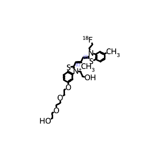 CC(/C=C1\Sc2ccc(C)cc2N1CC[18F])=C\c1sc2ccc(OCCOCCOCCO)cc2[n+]1CCO